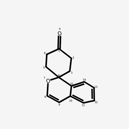 O=C1CCC2(CC1)OC=Cc1ccccc12